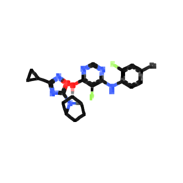 CCc1ccc(Nc2ncnc(O[C@H]3CC4CCC3N4c3nc(C4CC4)no3)c2F)c(F)c1